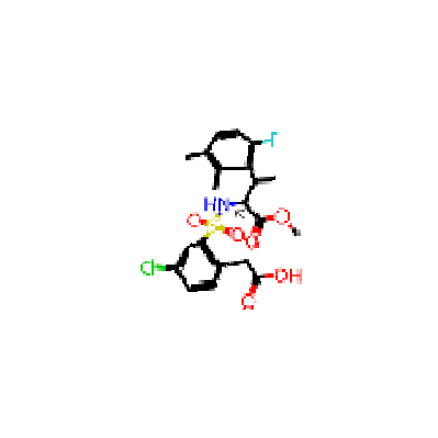 COC(=O)[C@@H](NS(=O)(=O)c1cc(Cl)ccc1CC(=O)O)C(C)c1c(F)ccc(C)c1C